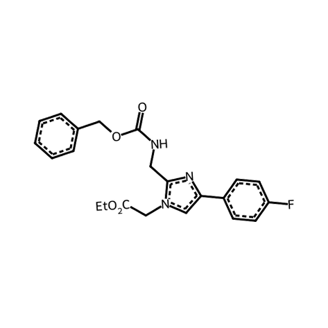 CCOC(=O)Cn1cc(-c2ccc(F)cc2)nc1CNC(=O)OCc1ccccc1